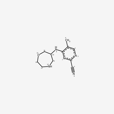 Cc1cnc(C#N)nc1NC1CNCCOC1